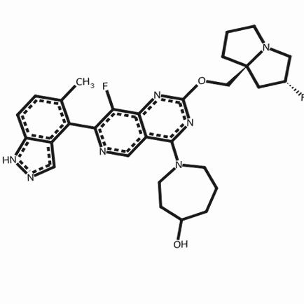 Cc1ccc2[nH]ncc2c1-c1ncc2c(N3CCCC(O)CC3)nc(OC[C@@]34CCCN3C[C@H](F)C4)nc2c1F